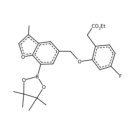 CCOC(=O)Cc1ccc(F)cc1OCc1cc(B2OC(C)(C)C(C)(C)O2)c2occ(C)c2c1